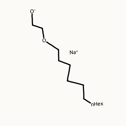 CCCCCCCCCCCCOCC[O-].[Na+]